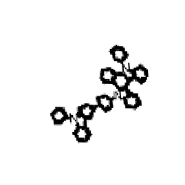 c1ccc(-n2c3ccccc3c3cc(-c4ccc(-n5c6ccccc6c6c7c8ccccc8n(-c8ccccc8)c7c7ccccc7c65)cc4)ccc32)cc1